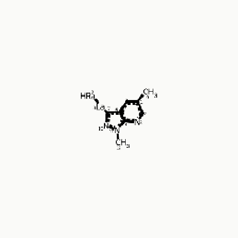 Cc1cnc2c(c1)[c]([La][RaH])nn2C